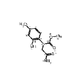 Cc1ccc(N(CC(N)=O)C(=O)OC(C)(C)C)c(O)c1